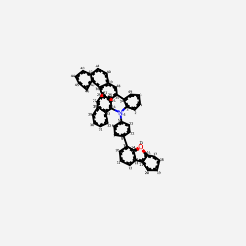 c1ccc(N(c2ccc(-c3cccc4c3oc3ccccc34)cc2)c2cccc3ccccc23)c(-c2ccc3c(ccc4ccccc43)c2)c1